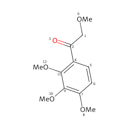 COCC(=O)c1ccc(OC)c(OC)c1OC